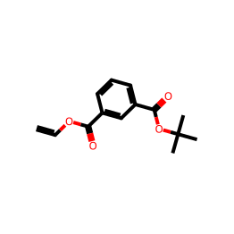 C=COC(=O)c1cccc(C(=O)OC(C)(C)C)c1